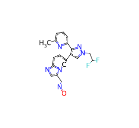 Cc1cccc(-c2nn(CC(F)F)cc2-c2ccc3ncc(CN=O)n3c2)n1